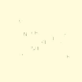 CN1C(=O)CCC1C(=O)NCc1ccc(F)c(C(F)(F)F)c1Cl